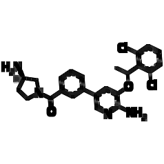 CC(Oc1cc(-c2cccc(C(=O)N3CC[C@@H](N)C3)c2)cnc1N)c1c(Cl)cccc1Cl